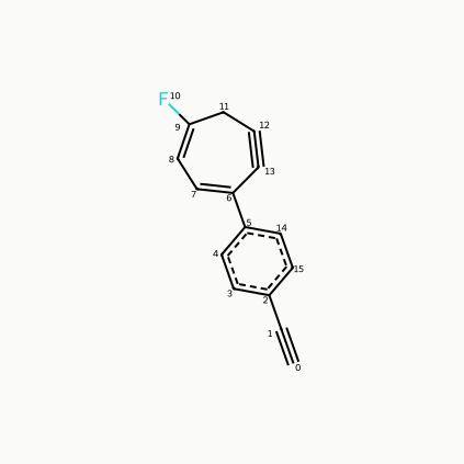 C#Cc1ccc(C2=CC=C(F)CC#C2)cc1